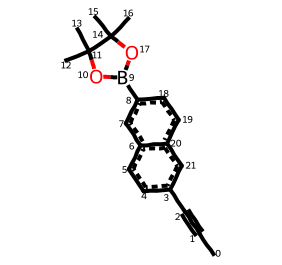 CC#Cc1ccc2cc(B3OC(C)(C)C(C)(C)O3)ccc2c1